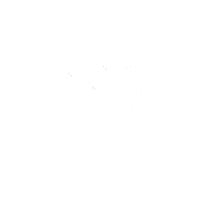 CCC1=C(C(=O)O)C(c2ccc(F)cc2Br)N=C(c2nccs2)N1